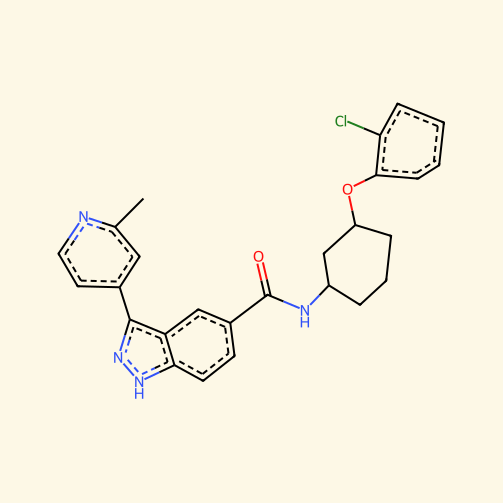 Cc1cc(-c2n[nH]c3ccc(C(=O)NC4CCCC(Oc5ccccc5Cl)C4)cc23)ccn1